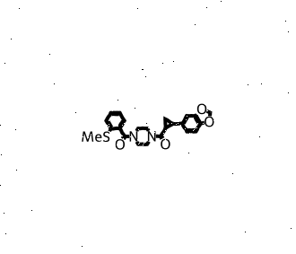 CSc1ccccc1C(=O)N1CCN(C(=O)C2CC2c2ccc3c(c2)OCO3)CC1